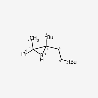 CC(C)C1(C)BC1(CCC(C)(C)C)C(C)(C)C